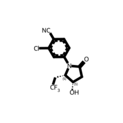 N#Cc1ccc(N2C(=O)C[C@H](O)[C@@H]2CC(F)(F)F)cc1Cl